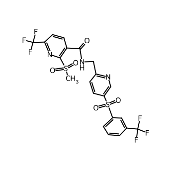 CS(=O)(=O)c1nc(C(F)(F)F)ccc1C(=O)NCc1ccc(S(=O)(=O)c2cccc(C(F)(F)F)c2)cn1